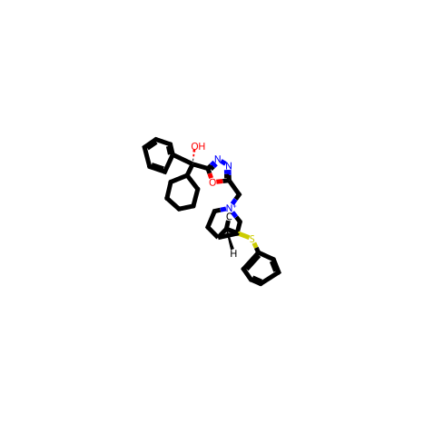 O[C@](c1ccccc1)(c1nnc(C[N+]23CCC(CC2)[C@@H](Sc2ccccc2)C3)o1)C1CCCCC1